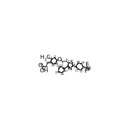 Cc1cc(OCCc2sc(-c3ccc(C(F)(F)F)cc3)nc2-c2ccccc2)ccc1CCC(=O)O